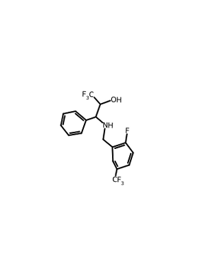 OC(C(NCc1cc(C(F)(F)F)ccc1F)c1ccccc1)C(F)(F)F